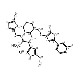 Cc1cccc(-c2nc(COC3CCCCC3OC(c3cc(CCl)sc3Cl)C(OCc3ccc(Cl)s3)C(=O)O)c(C)o2)c1